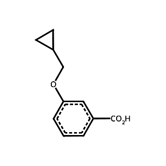 O=C(O)c1cccc(OCC2CC2)c1